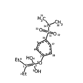 CCS(CC)=P(O)(O)Oc1ccc(S(=O)(=O)N(C)C)cc1